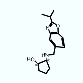 CC(C)c1nc2cc(CN[C@@H]3CCC[C@H]3O)ccc2o1